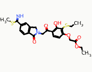 CCOC(=O)COc1ccc(C(=O)CN2Cc3cc(C(=N)SC)ccc3C2=O)c(O)c1SCC